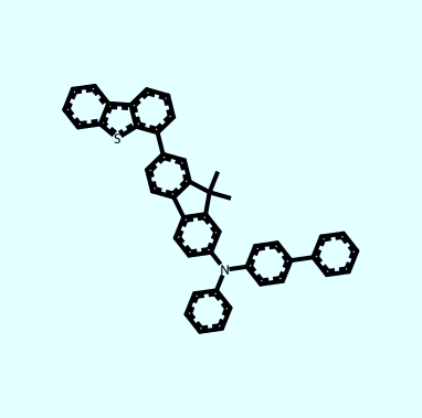 CC1(C)c2cc(-c3cccc4c3sc3ccccc34)ccc2-c2ccc(N(c3ccccc3)c3ccc(-c4ccccc4)cc3)cc21